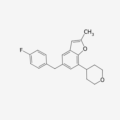 Cc1cc2cc(Cc3ccc(F)cc3)cc(C3CCOCC3)c2o1